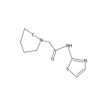 O=C(CN1CC[CH]CC1)Nc1nccs1